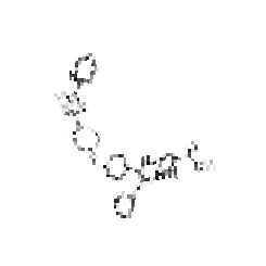 O=C(O)c1cc2nc(-c3ccc(CN4CCC(c5n[nH]c(-c6ccccn6)n5)CC4)cc3)c(-c3ccccc3)cn2n1